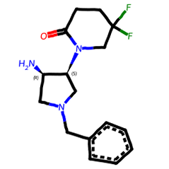 N[C@@H]1CN(Cc2ccccc2)C[C@@H]1N1CC(F)(F)CCC1=O